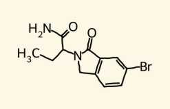 CCC(C(N)=O)N1Cc2ccc(Br)cc2C1=O